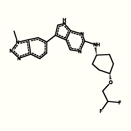 Cn1nnc2ccc(-c3c[nH]c4nc(N[C@H]5CC[C@@H](OCC(F)F)CC5)ncc34)cc21